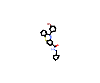 O=C(NCc1ccccc1)c1ccc2c(c1)N=C(c1cccc(Br)c1)c1ccccc1S2